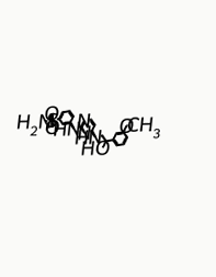 COc1cccc(C(O)CNc2ccnc(Nc3cccc(S(N)(=O)=O)c3)n2)c1